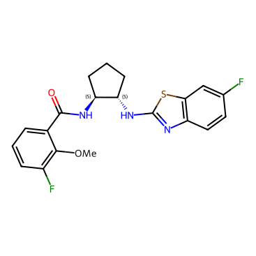 COc1c(F)cccc1C(=O)N[C@H]1CCC[C@@H]1Nc1nc2ccc(F)cc2s1